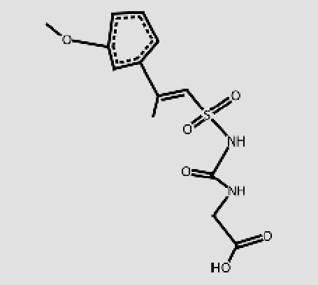 COc1cccc(C(C)=CS(=O)(=O)NC(=O)NCC(=O)O)c1